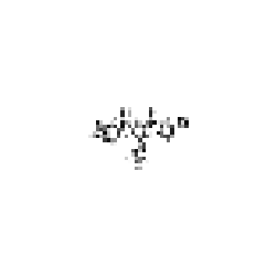 CCc1ccnc(Nc2nc(Nc3ccn4ccnc4c3)cc(N3CCC(C)(C)C3)n2)c1